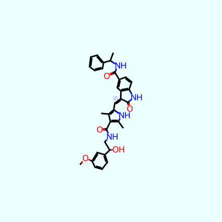 COc1cccc(C(O)CNC(=O)c2c(C)[nH]c(/C=C3\C(=O)Nc4ccc(C(=O)NC(C)c5ccccc5)cc43)c2C)c1